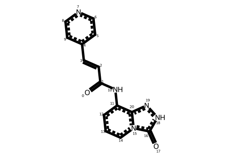 O=C(/C=C/c1ccncc1)Nc1cccn2c(=O)[nH]nc12